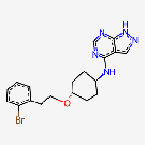 Brc1ccccc1CCO[C@H]1CC[C@H](Nc2ncnc3[nH]ncc23)CC1